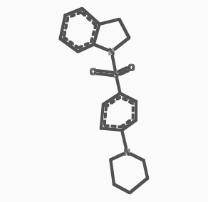 O=S(=O)(c1ccc(N2CCCCC2)cc1)N1CCc2ccccc21